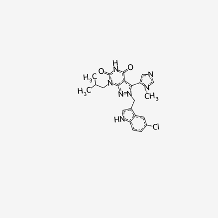 CC(C)Cn1c(=O)[nH]c(=O)c2c(-c3cncn3C)n(Cc3c[nH]c4ccc(Cl)cc34)nc21